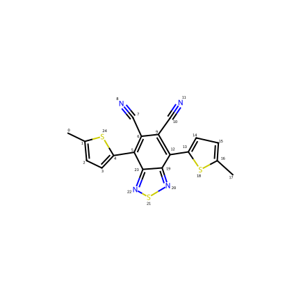 Cc1ccc(-c2c(C#N)c(C#N)c(-c3ccc(C)s3)c3nsnc23)s1